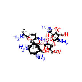 C[C@H](N)[C@@H]1CC[C@@H](N)[C@@H](C2[C@@H](N)C[C@@H](N)[C@H](O)[C@H]2O[C@@H]2O[C@H](CO)[C@@H](O[C@H]3O[C@@H](CN)[C@@H](O)[C@H](O)[C@H]3N)[C@H]2O)O1